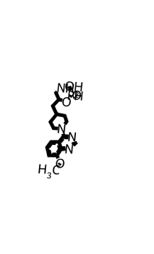 COc1cccc2c(N3CCC(CC(CN)O[PH](=O)O)CC3)ncnc12